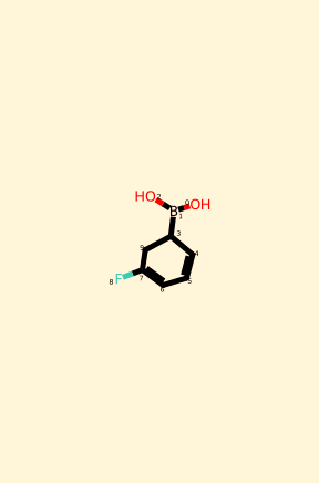 OB(O)C1C=CC=C(F)C1